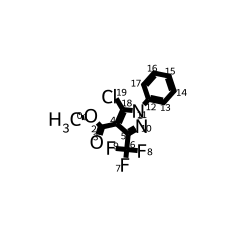 COC(=O)c1c(C(F)(F)F)nn(-c2ccccc2)c1Cl